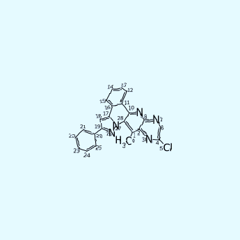 Cc1c2nc(Cl)cnc2nc2c3ccccc3c3cc(-c4ccccc4)nn3c12